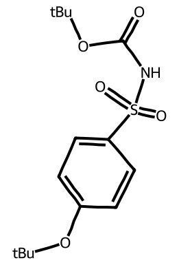 CC(C)(C)OC(=O)NS(=O)(=O)c1ccc(OC(C)(C)C)cc1